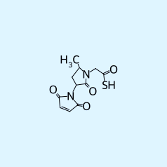 CC1CC(N2C(=O)C=CC2=O)C(=O)N1CC(=O)S